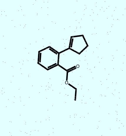 CCOC(=O)c1ccccc1C1=CCCC1